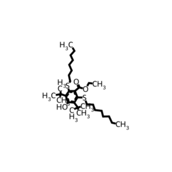 CCCCCCCCSc1c(C(=O)OCC)c(SCCCCCCCC)c(C(C)(C)C)c(O)c1C(C)(C)C